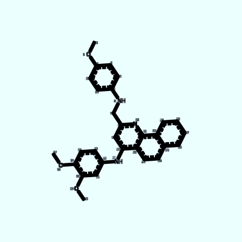 COc1ccc(NCc2cc(Nc3ccc(OC)c(OC)c3)c3ccc4ccccc4c3n2)cc1